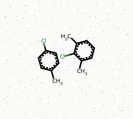 Cc1ccc(Cl)cc1.Cc1cccc(C)c1Cl